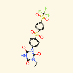 CCn1c(=O)[nH]c(=O)n(-c2ccc(S(=O)(=O)c3ccc(S(=O)(=O)C(F)(F)F)cc3)cc2)c1=O